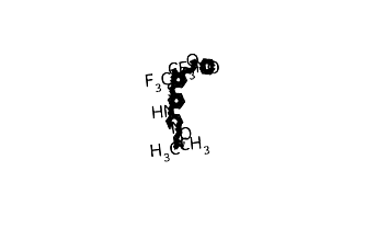 CN(C)CC(=O)N1CCC(Nc2cccc(Sc3ccc(C=CC(=O)N4CCOCC4)c(C(F)(F)F)c3C(F)(F)F)c2)CC1